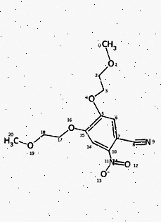 COCCOc1cc(C#N)c([N+](=O)[O-])cc1OCCOC